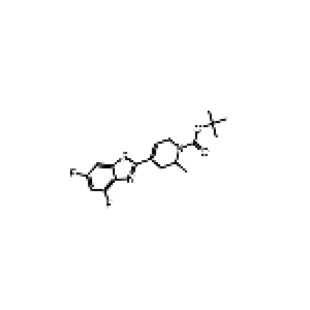 CC1CC(c2nc3c(F)cc(F)cc3s2)=CCN1C(=O)OC(C)(C)C